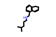 CC(C)CCCNCc1cccc2c1C=CCC2